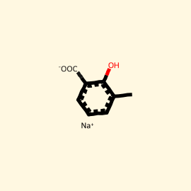 Cc1cccc(C(=O)[O-])c1O.[Na+]